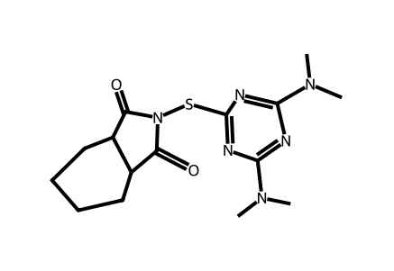 CN(C)c1nc(SN2C(=O)C3CCCCC3C2=O)nc(N(C)C)n1